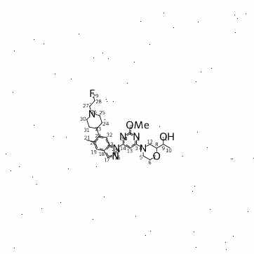 COc1nc(N2CCOC(C(C)O)C2)cc(-n2ncc3cc(C)c(C4CCN(CCF)CC4)cc32)n1